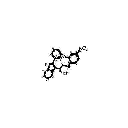 Cl.O=C(O)c1cc([N+](=O)[O-])ccc1NCCc1c(-c2ccccn2)[nH]c2ccccc12